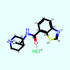 Cl.O=C(NC1CN2CCC1CC2)c1cccc2ncsc12